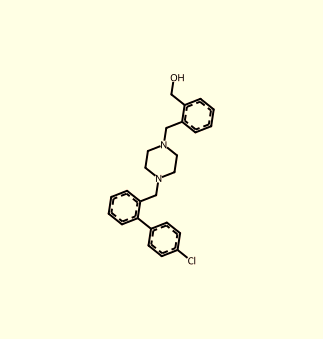 OCc1ccccc1CN1CCN(Cc2ccccc2-c2ccc(Cl)cc2)CC1